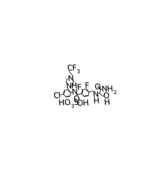 NC(=O)C(CO)NCc1ccc(C(=O)Nc2ccc(Cl)cc2N2CCN(CCC(F)(F)F)CC2)c(F)c1F.O=S(=O)(O)O